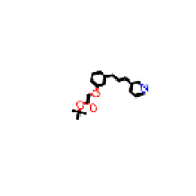 CC(C)(C)OC(=O)COc1cccc([CH]CCc2cccnc2)c1